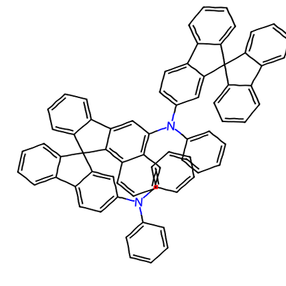 c1ccc(N(c2ccccc2)c2ccc3c(c2)C2(c4ccccc4-3)c3ccccc3-c3cc(N(c4ccccc4)c4ccc5c(c4)C4(c6ccccc6-c6ccccc64)c4ccccc4-5)c4ccccc4c32)cc1